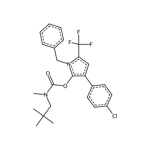 CN(CC(C)(C)C)C(=O)Oc1c(-c2ccc(Cl)cc2)cc(C(F)(F)F)n1Cc1ccccc1